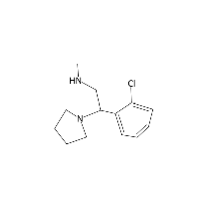 CNCC(c1ccccc1Cl)N1CCCC1